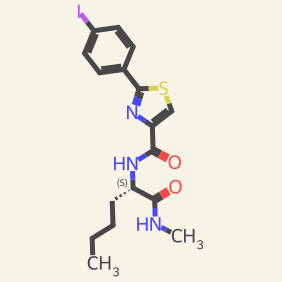 CCCC[C@H](NC(=O)c1csc(-c2ccc(I)cc2)n1)C(=O)NC